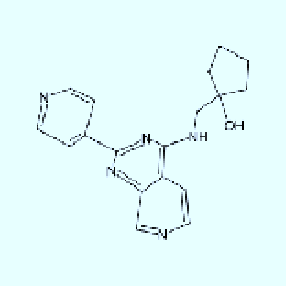 OC1(CNc2nc(-c3ccncc3)nc3cnccc23)CCCC1